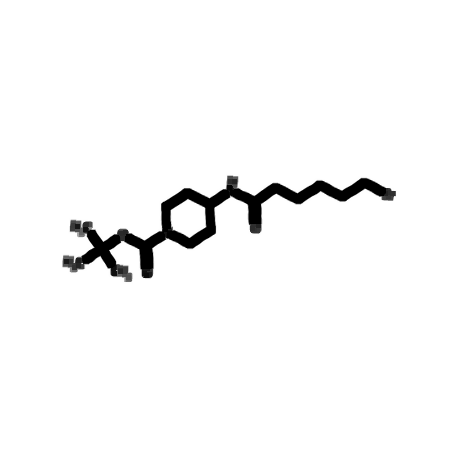 CC(C)(C)OC(=O)N1CCC(NC(=O)CCCCCBr)CC1